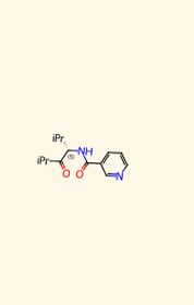 CC(C)C(=O)[C@@H](NC(=O)c1cccnc1)C(C)C